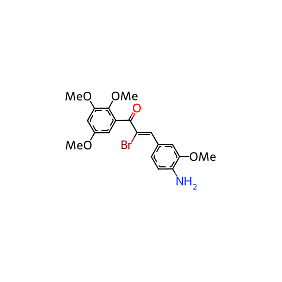 COc1cc(OC)c(OC)c(C(=O)C(Br)=Cc2ccc(N)c(OC)c2)c1